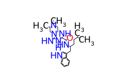 CC(C)CCC(Cc1c[nH]c2ccccc12)NC(=O)C(=N)NC(=N)N1CCN(C)C(C)C1